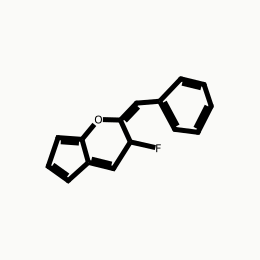 FC1C=C2C=CC=C2OC1=Cc1ccccc1